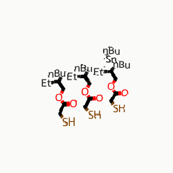 CCCCC(CC)COC(=O)CS.CCCCC(CC)COC(=O)CS.CCCCC(CC)COC(=O)CS.CCC[CH2][Sn]